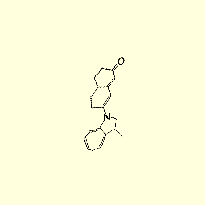 CC1CN(C2=CC3=CC(=O)CCC3CC2)c2ccccc21